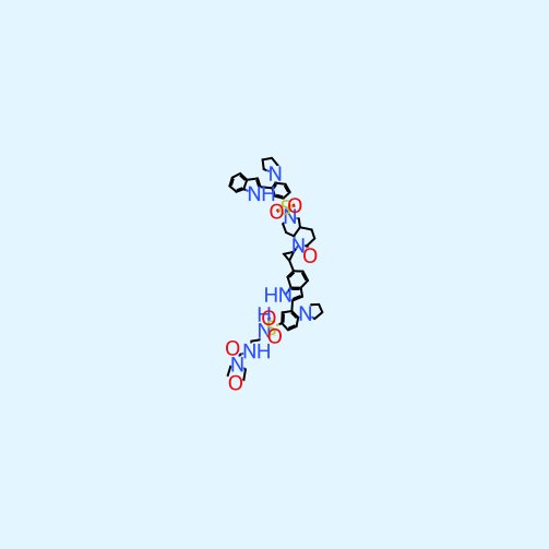 O=C(NCCNS(=O)(=O)c1ccc(N2CCCC2)c(-c2cc3ccc(C4CC4N4C(=O)CCC5CN(S(=O)(=O)c6ccc(N7CCCC7)c(-c7cc8ccccc8[nH]7)c6)CCC54)cc3[nH]2)c1)N1CCOCC1